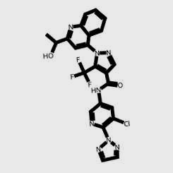 CC(O)c1cc(-n2ncc(C(=O)Nc3cnc(-n4nccn4)c(Cl)c3)c2C(F)(F)F)c2ccccc2n1